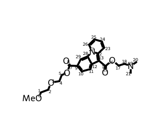 COCCOCCOC(=O)c1ccc2c(C(=O)OCCN(C)C)c3ccccn3c2c1